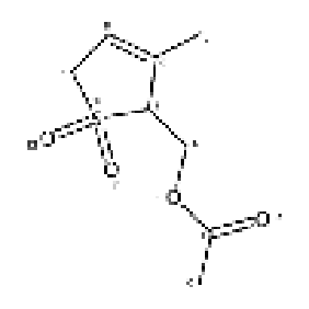 CC(=O)OCC1C(C)=CCS1(=O)=O